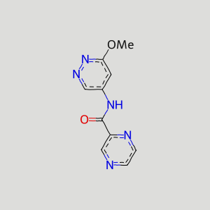 COc1cc(NC(=O)c2cnccn2)cnn1